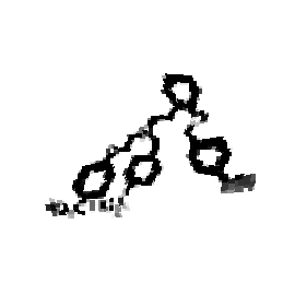 CCCCc1ccc(COc2ccccc2CCN(CCOc2ccc(C(=O)O)cc2)Cc2ccc(C(=O)O)cc2)cc1